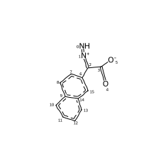 N=[N+]=C(C(=O)[O-])c1ccc2ccccc2c1